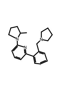 CC1CCCN1c1cccc(-c2c[c]ccc2CN2CCCC2)n1